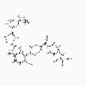 CC(C)(C)OC(=O)N1CC=C(c2cc3c(C4CCN(C(=O)c5ccc(OC(F)(F)F)cc5)CC4)c(F)cnc3[nH]2)C1